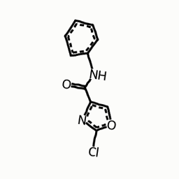 O=C(Nc1ccccc1)c1coc(Cl)n1